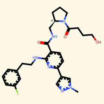 Cn1cc(-c2ccc(C(=O)NC[C@H]3CCCN3C(=O)CCCO)c(NCCc3cccc(F)c3)n2)cn1